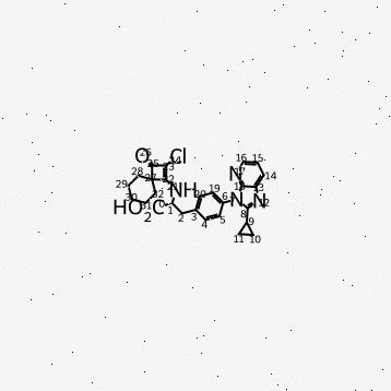 O=C(O)[C@H](Cc1ccc(-n2c(C3CC3)nc3cccnc32)cc1)NC1=C(Cl)C(=O)C12CCCCC2